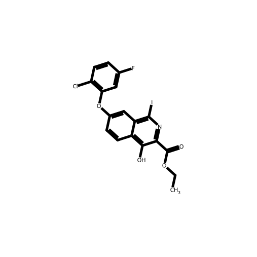 CCOC(=O)c1nc(I)c2cc(Oc3cc(F)ccc3Cl)ccc2c1O